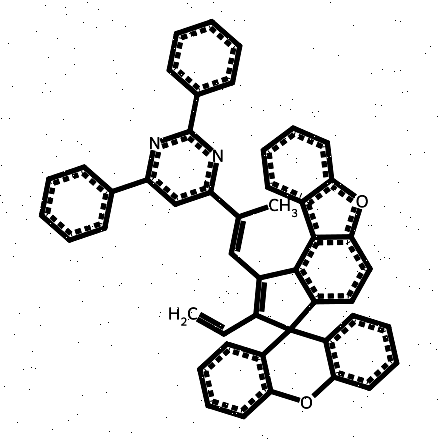 C=CC1=C(/C=C(\C)c2cc(-c3ccccc3)nc(-c3ccccc3)n2)c2c(ccc3oc4ccccc4c23)C12c1ccccc1Oc1ccccc12